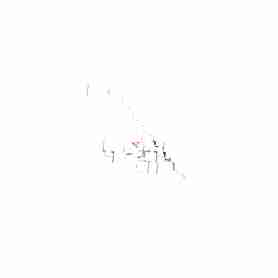 CCCCCCC(CCCCCCC=O)O[Si](C)(C)C(C)(C)C